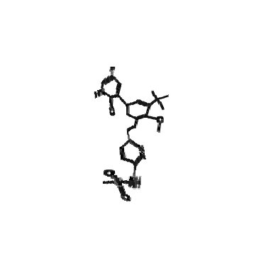 COc1c(C=Cc2ccc(NS(C)(=O)=O)nn2)cc(-c2cc(F)c[nH]c2=O)cc1C(C)(C)C